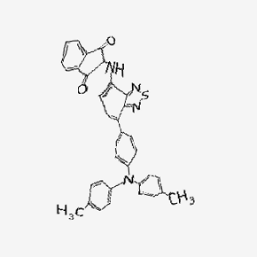 Cc1ccc(N(c2ccc(C)cc2)c2ccc(-c3ccc(NC4C(=O)c5ccccc5C4=O)c4nsnc34)cc2)cc1